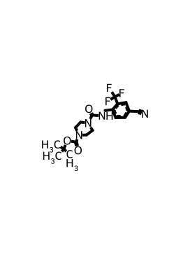 CC(C)(C)OC(=O)N1CCN(C(=O)NCc2ccc(C#N)cc2C(F)(F)F)CC1